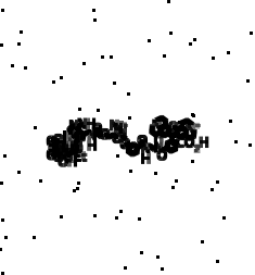 CC[C@@H](COP(=O)(O)OP(=O)(O)OP(=O)(O)O)OCn1cc(CNC(=O)COCCOC(COc2cccc(C(=O)NCCNC(=O)c3ccc(C(=O)O)c(C4=c5cc6c7c(c5Oc5c4cc4c8c5CCCN8CCC4)CCC[N+]=7CCC6)c3)c2)N=[N+]=[N-])c2c(N)ncnc21